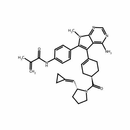 C=C(C)C(=O)Nc1ccc(-c2c(C3=CC[C@H](C(=O)N4CCC[C@@H]4C=C4CC4)CC3)c3c(N)ncnc3n2C)cc1